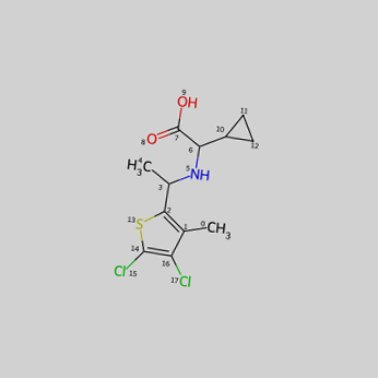 Cc1c(C(C)NC(C(=O)O)C2CC2)sc(Cl)c1Cl